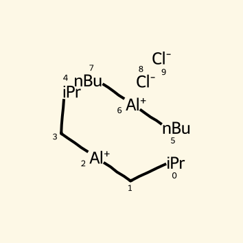 CC(C)[CH2][Al+][CH2]C(C)C.CCC[CH2][Al+][CH2]CCC.[Cl-].[Cl-]